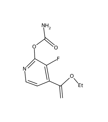 C=C(OCC)c1ccnc(OC(N)=O)c1F